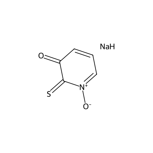 O=C1C=CC=[N+]([O-])C1=S.[NaH]